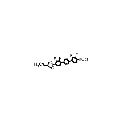 C/C=C/C1COC(c2ccc(-c3ccc(-c4ccc(CCCCCCCC)c(F)c4F)cc3)c(F)c2F)OC1